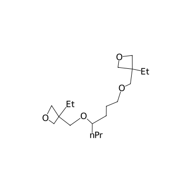 CCCC(CCCOCC1(CC)COC1)OCC1(CC)COC1